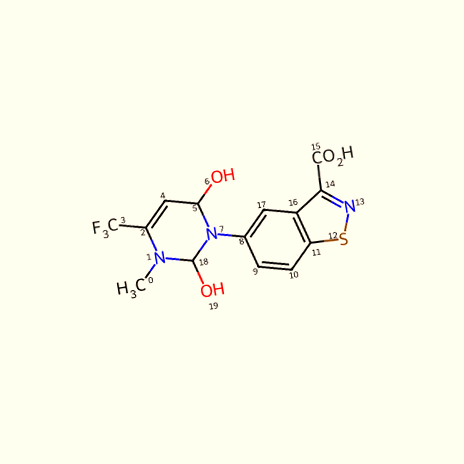 CN1C(C(F)(F)F)=CC(O)N(c2ccc3snc(C(=O)O)c3c2)C1O